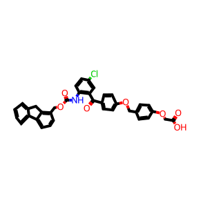 O=C(O)COc1ccc(COc2ccc(C(=O)c3cc(Cl)ccc3NC(=O)OCc3cccc4c3Cc3ccccc3-4)cc2)cc1